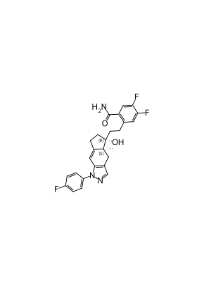 C[C@]12Cc3cnn(-c4ccc(F)cc4)c3C=C1CC[C@@]2(O)CCc1cc(F)c(F)cc1C(N)=O